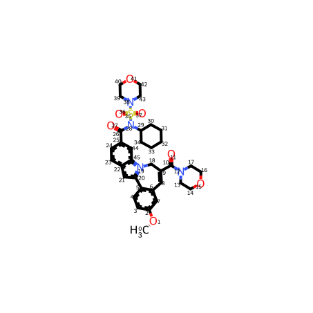 COc1ccc2c(c1)C=C(C(=O)N1CCOCC1)Cn1c-2cc2ccc(C(=O)N(C3CCCCC3)S(=O)(=O)N3CCOCC3)cc21